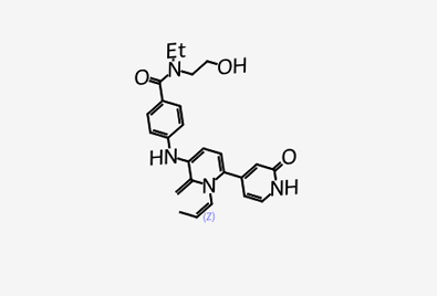 C=C1C(Nc2ccc(C(=O)N(CC)CCO)cc2)=CC=C(c2cc[nH]c(=O)c2)N1/C=C\C